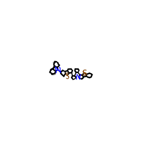 c1ccc(-c2cccc3c2sc2ccc(-n4c5ccccc5c5ccccc54)cc23)c(-c2ccccc2-c2nccc3c2sc2ccccc23)c1